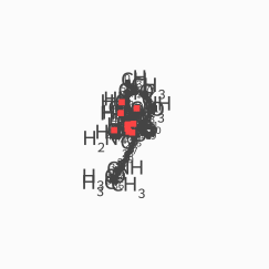 CC[C@H](C)[C@@H]1NC(=O)CNC(=O)C2Cc3c4[nH]c5cc(ccc35)OC(CCCCCCNC(=O)OC(C)(C)C)(C(=O)[C@H](CC(N)=O)NC(=O)C(CS4)NC(=O)CNC1=O)N1C[C@H](O)C[C@]1(C=O)N[C@@H]([C@@H](C)[C@@H](O)CO)C(=O)N2